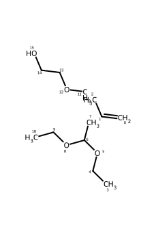 C=CC.CCOC(C)OCC.COCCO